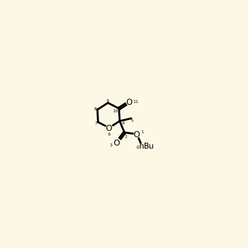 CCCCOC(=O)C1(C)OCCCC1=O